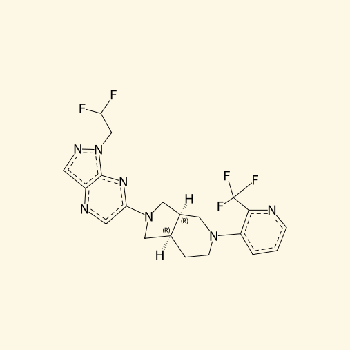 FC(F)Cn1ncc2ncc(N3C[C@@H]4CCN(c5cccnc5C(F)(F)F)C[C@@H]4C3)nc21